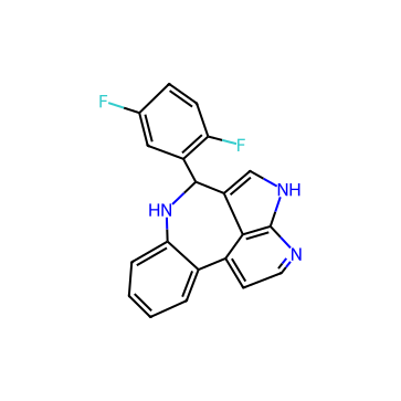 Fc1ccc(F)c(C2Nc3ccccc3-c3ccnc4[nH]cc2c34)c1